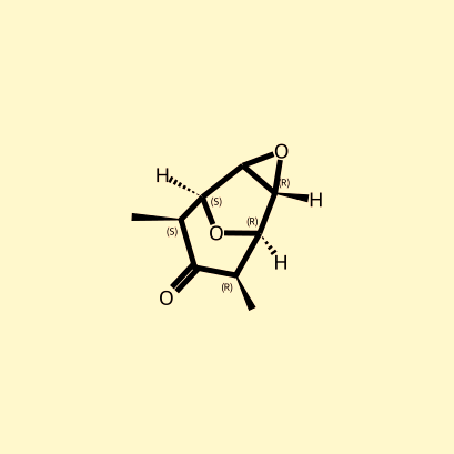 C[C@@H]1C(=O)[C@H](C)[C@H]2O[C@@H]1C1O[C@@H]12